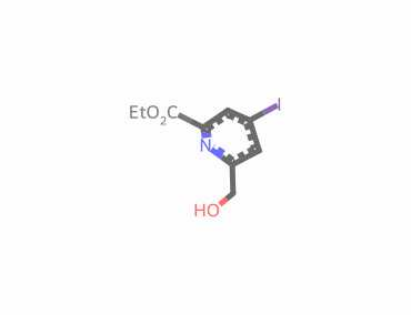 CCOC(=O)c1cc(I)cc(CO)n1